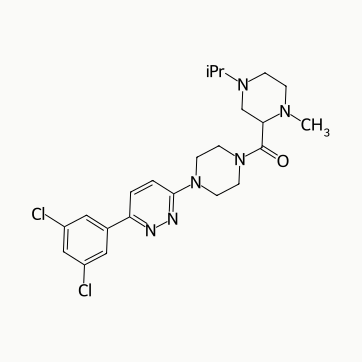 CC(C)N1CCN(C)C(C(=O)N2CCN(c3ccc(-c4cc(Cl)cc(Cl)c4)nn3)CC2)C1